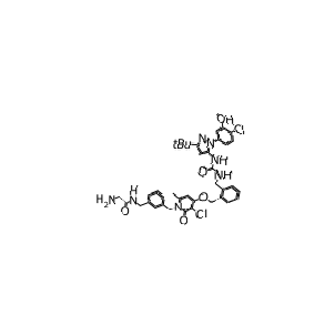 Cc1cc(OCc2ccccc2CNC(=O)Nc2cc(C(C)(C)C)nn2-c2ccc(Cl)c(O)c2)c(Cl)c(=O)n1Cc1cccc(CNC(=O)CN)c1